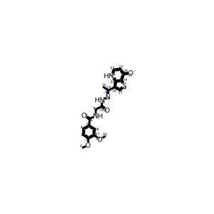 COc1ccc(C(=O)NCC(=O)N/N=C(\C)c2csc3c(=O)cc[nH]c23)cc1OC